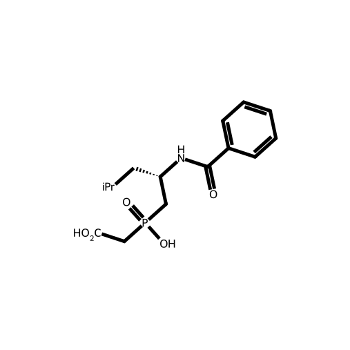 CC(C)C[C@@H](CP(=O)(O)CC(=O)O)NC(=O)c1ccccc1